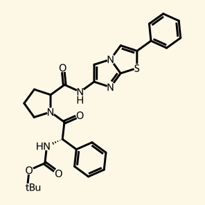 CC(C)(C)OC(=O)N[C@H](C(=O)N1CCCC1C(=O)Nc1cn2cc(-c3ccccc3)sc2n1)c1ccccc1